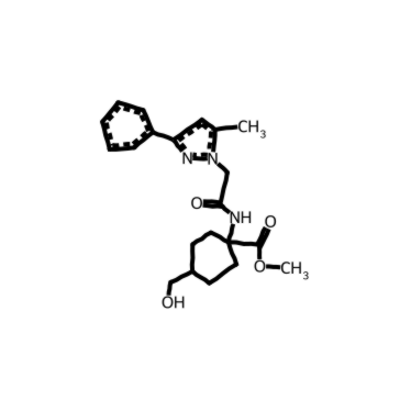 COC(=O)C1(NC(=O)Cn2nc(-c3ccccc3)cc2C)CCC(CO)CC1